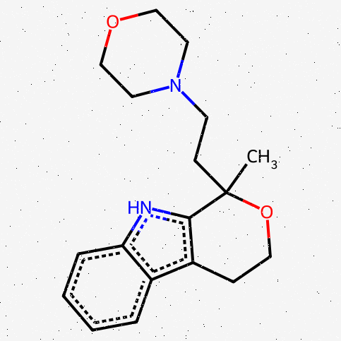 CC1(CCN2CCOCC2)OCCc2c1[nH]c1ccccc21